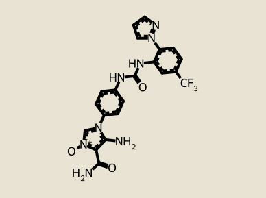 NC(=O)c1c(N)n(-c2ccc(NC(=O)Nc3cc(C(F)(F)F)ccc3-n3cccn3)cc2)c[n+]1[O-]